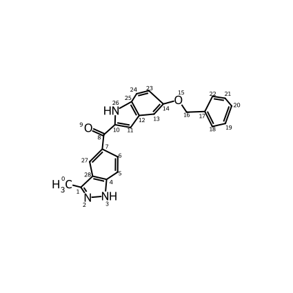 Cc1n[nH]c2ccc(C(=O)c3cc4cc(OCc5ccccc5)ccc4[nH]3)cc12